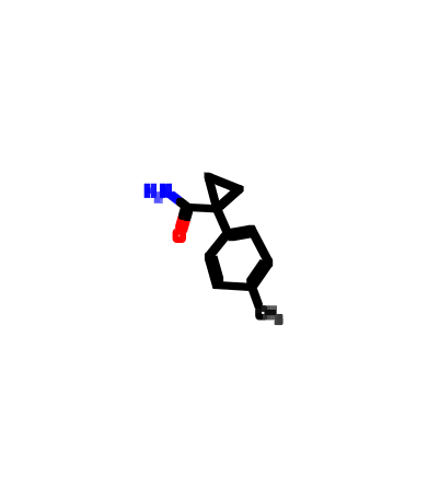 Cc1ccc(C2(C(N)=O)CC2)cc1